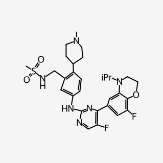 CC(C)N1CCOc2c(F)cc(-c3nc(Nc4ccc(C5CCN(C)CC5)c(CNS(C)(=O)=O)c4)ncc3F)cc21